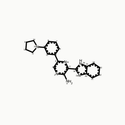 Nc1ncc(-c2cccc(N3CCCC3)c2)nc1-c1nc2ccccc2[nH]1